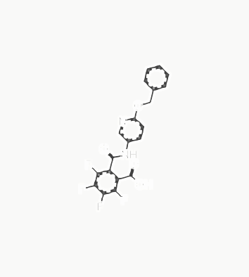 O=C(O)c1c(F)c(F)c(F)c(F)c1C(=O)Nc1ccc(OCc2ccccc2)nc1